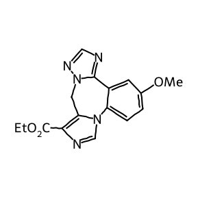 CCOC(=O)c1ncn2c1Cn1ncnc1-c1cc(OC)ccc1-2